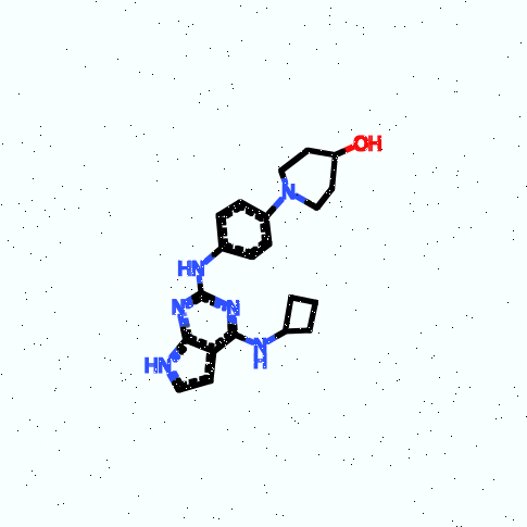 OC1CCN(c2ccc(Nc3nc(NC4CCC4)c4cc[nH]c4n3)cc2)CC1